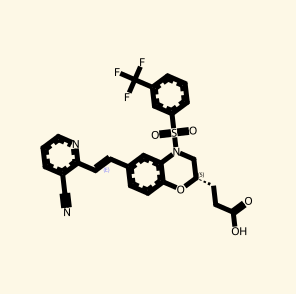 N#Cc1cccnc1/C=C/c1ccc2c(c1)N(S(=O)(=O)c1cccc(C(F)(F)F)c1)C[C@H](CCC(=O)O)O2